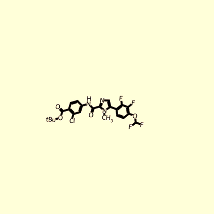 Cn1c(-c2ccc(OC(F)F)c(F)c2F)cnc1C(=O)Nc1ccc(C(=O)OC(C)(C)C)c(Cl)c1